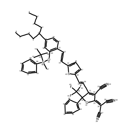 CCCCC(CCCC)c1ccc(/C=C/c2ccc(/C=C/C3=C(C#N)C(=C(C#N)C#N)OC3(c3ccccc3)C(F)(F)F)s2)c(O[Si](C)(c2ccccc2)C(C)(C)C)c1